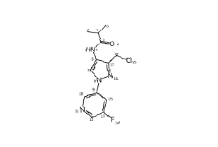 CC(C)C(=O)Nc1cn(-c2cncc(F)c2)nc1CCl